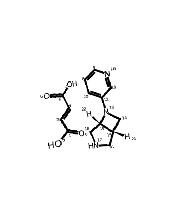 O=C(O)/C=C/C(=O)O.c1cncc(N2C[C@@H]3CNC[C@@H]32)c1